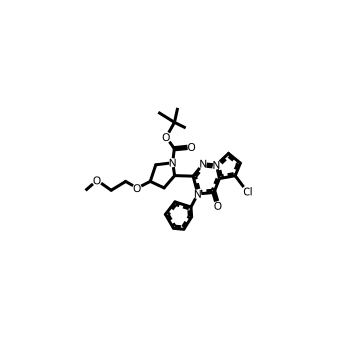 COCCOC1CC(c2nn3ccc(Cl)c3c(=O)n2-c2ccccc2)N(C(=O)OC(C)(C)C)C1